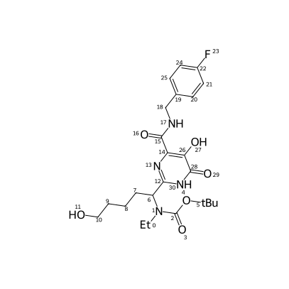 CCN(C(=O)OC(C)(C)C)C(CCCCO)c1nc(C(=O)NCc2ccc(F)cc2)c(O)c(=O)[nH]1